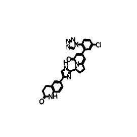 O=C1CCc2cc(-c3c[nH]c(C4CCc5cc(-c6cc(Cl)ccc6-n6cnnn6)cc(=O)n54)n3)ccc2N1